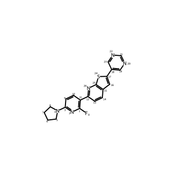 Fc1nc(N2CCCC2)ccc1-c1ccc2cc(-c3cncnc3)sc2n1